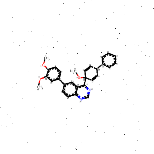 COc1ccc(-c2ccc3ncnc(C4(OC)C=CC(c5ccccc5)C=C4)c3c2)cc1OC